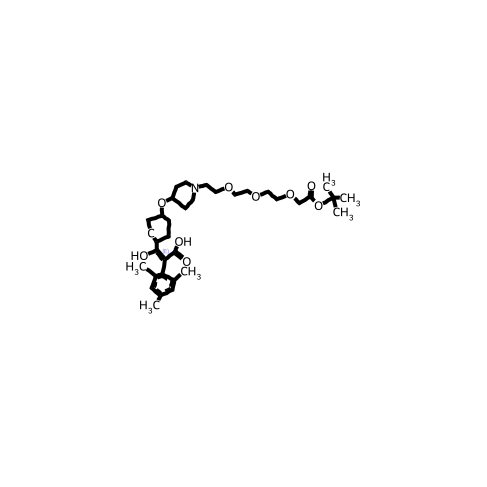 Cc1cc(C)c(/C(C(=O)O)=C(\O)C2CCC(OC3CCN(CCOCCOCCOCC(=O)OC(C)(C)C)CC3)CC2)c(C)c1